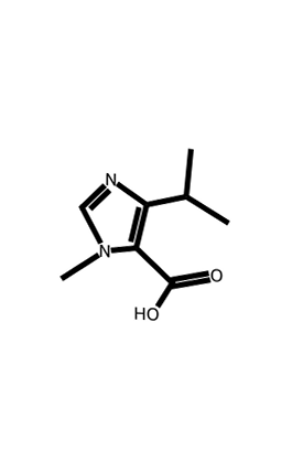 CC(C)c1ncn(C)c1C(=O)O